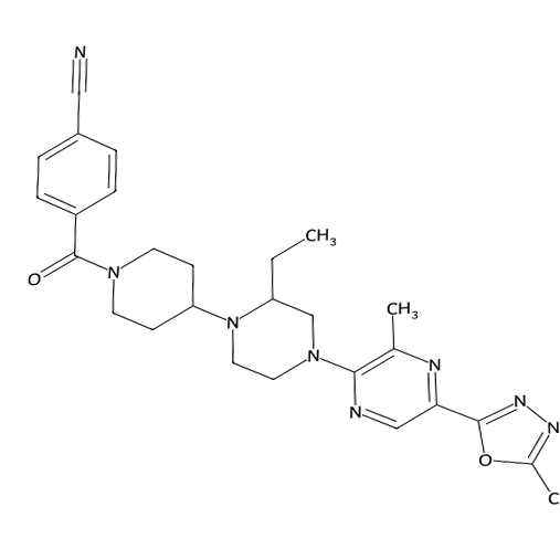 CCC1CN(c2ncc(-c3nnc(C)o3)nc2C)CCN1C1CCN(C(=O)c2ccc(C#N)cc2)CC1